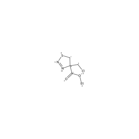 CCOC(=O)C1(CCl)CSN=N1